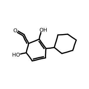 O=C=C1C(O)=C(C2CCCCC2)C=CC1O